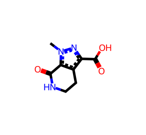 Cn1nc(C(=O)O)c2c1C(=O)NCC2